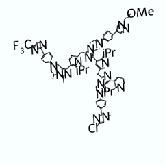 COCCn1cc(-c2ccc(N3CCn4c(Cc5ccc(-c6nc(C)n7c6CN(c6ccc(-c8nc(C(F)(F)F)cn8C)cc6)CC7C)c(C(C)C)n5)nc(-c5cc(Cc6nc(-c7cccnc7C(C)C)c7n6CCN(c6ccc(-c8nc(Cl)cn8C)cc6)C7)cnc5C(C)C)c4C3)cc2)cn1